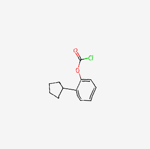 O=C(Cl)Oc1ccccc1C1CCCC1